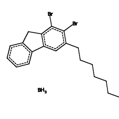 B.CCCCCCCCc1cc2c(c(Br)c1Br)Cc1ccccc1-2